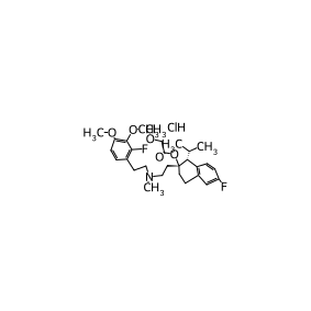 COCC(=O)O[C@@]1(CCN(C)CCc2ccc(OC)c(OC)c2F)CCc2cc(F)ccc2[C@H]1C(C)C.Cl